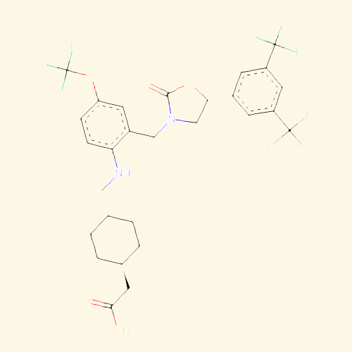 C[C@H]1[C@@H](c2cc(C(F)(F)F)cc(C(F)(F)F)c2)OC(=O)N1Cc1cc(OC(F)(F)F)ccc1NC[C@H]1CC[C@H](CC(=O)O)CC1